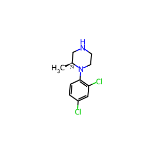 C[C@H]1CNCCN1c1ccc(Cl)cc1Cl